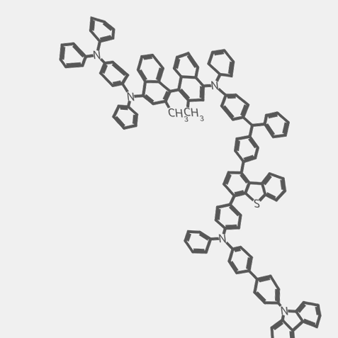 CC1=C(c2c(C)cc(N(c3ccccc3)c3ccc(N(c4ccccc4)c4ccccc4)cc3)c3ccccc23)C2C=CC=CC2C(N(c2ccc(C(c3ccccc3)c3ccc(-c4ccc(-c5ccc(N(c6ccccc6)c6ccc(-c7ccc(-n8c9ccccc9c9ccccc98)cc7)cc6)cc5)c5sc6ccccc6c45)cc3)cc2)C2C=CC=CC2)=C1